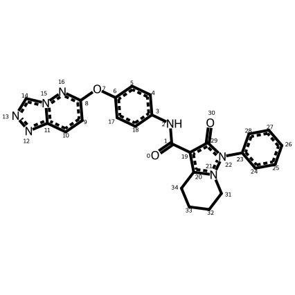 O=C(Nc1ccc(Oc2ccc3nncn3n2)cc1)c1c2n(n(-c3ccccc3)c1=O)CCCC2